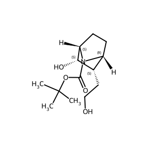 CC(C)(C)OC(=O)N1[C@@H]2CC[C@H]1[C@@H](O)[C@H]2CCO